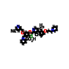 Cc1c(OCCCN2CCCCC2)cccc1-c1ccnc(COc2cc(OCc3cncc(C#N)c3)c(CN3CCCC[C@H]3C(=O)O)cc2Cl)c1C